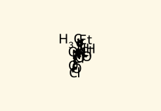 CCc1cc(Nc2cc(=O)n(CCCCOC(=O)CCl)c(=O)n2C(Cl)C(=O)Cl)ccc1C